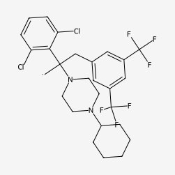 [CH2]C(Cc1cc(C(F)(F)F)cc(C(F)(F)F)c1)(c1c(Cl)cccc1Cl)N1CCN(C2CCCCC2)CC1